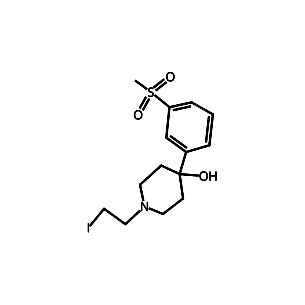 CS(=O)(=O)c1cccc(C2(O)CCN(CCI)CC2)c1